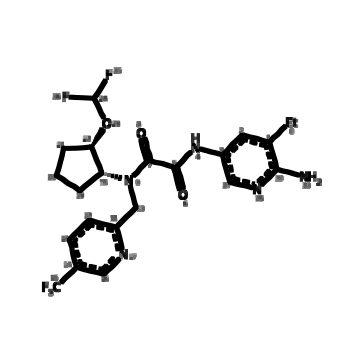 CCc1cc(NC(=O)C(=O)N(Cc2ccc(C(F)(F)F)cn2)[C@@H]2CCC[C@H]2OC(F)F)cnc1N